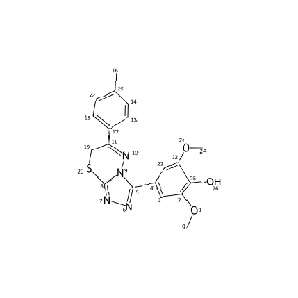 COc1cc(-c2nnc3n2N=C(c2ccc(C)cc2)CS3)cc(OC)c1O